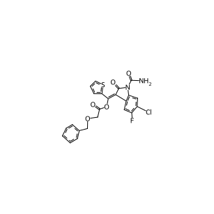 NC(=O)N1C(=O)C(=C(OC(=O)COCc2ccccc2)c2cccs2)c2cc(F)c(Cl)cc21